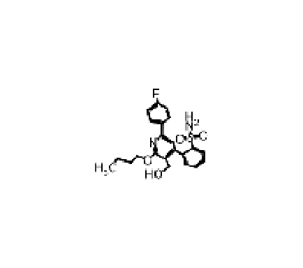 CCCCOc1nc(-c2ccc(F)cc2)cc(-c2ccccc2S(N)(=O)=O)c1CO